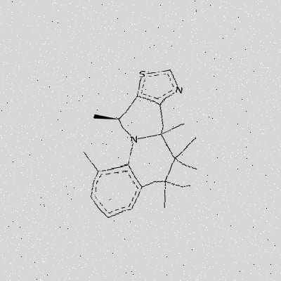 Cc1cccc2c1N1[C@@H](C)c3scnc3C1(C)C(C)(C)C2(C)C